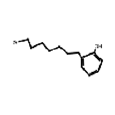 Oc1ccccc1CCCCCCCBr